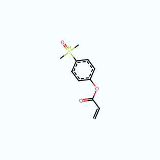 C=CC(=O)Oc1ccc([SH](C)(C)=O)cc1